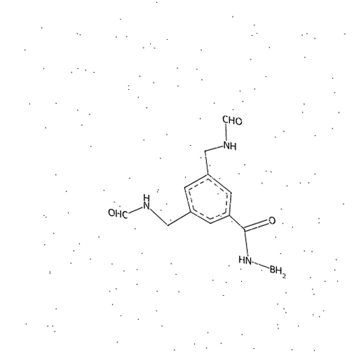 BNC(=O)c1cc(CNC=O)cc(CNC=O)c1